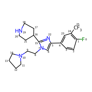 Fc1ccc(-c2cn(CCN3CCCC3)c(C3CCNCC3)n2)cc1C(F)(F)F